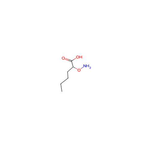 CCCCC(ON)C(=O)O